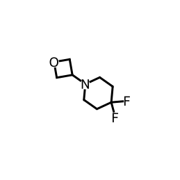 FC1(F)CCN(C2COC2)CC1